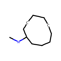 C[N]C1CCCCCCCCC1